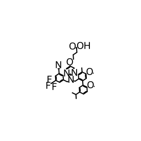 COc1cc(-c2cc(C(C)C)ccc2OC)c(CN(Cc2cc(C#N)cc(C(F)(F)F)c2)c2ncc(OCCCC(=O)O)cn2)cc1C